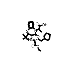 CCOC(=O)[C@@H](CCC1CCCCC1)N[C@@H]1C(=O)N(C(C)C(=O)O)c2ccccc2SC1C(C)(C)C